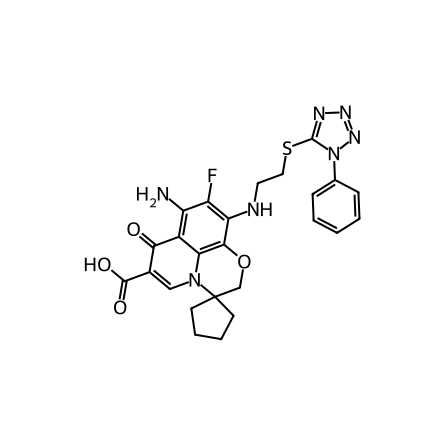 Nc1c(F)c(NCCSc2nnnn2-c2ccccc2)c2c3c1c(=O)c(C(=O)O)cn3C1(CCCC1)CO2